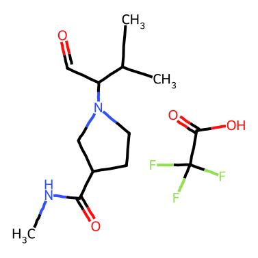 CNC(=O)C1CCN(C(C=O)C(C)C)C1.O=C(O)C(F)(F)F